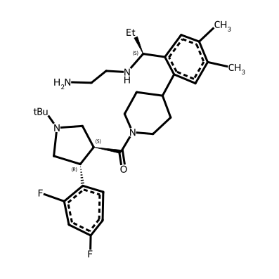 CC[C@H](NCCN)c1cc(C)c(C)cc1C1CCN(C(=O)[C@@H]2CN(C(C)(C)C)C[C@H]2c2ccc(F)cc2F)CC1